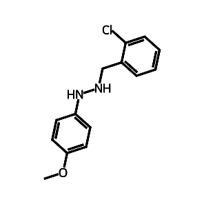 COc1ccc(NNCc2ccccc2Cl)cc1